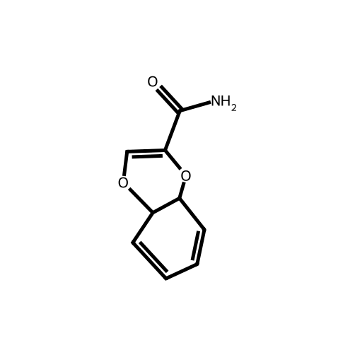 NC(=O)C1=COC2C=CC=CC2O1